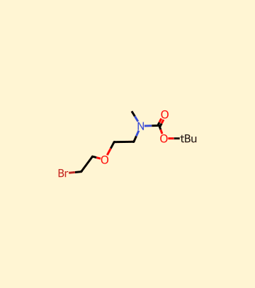 CN(CCOCCBr)C(=O)OC(C)(C)C